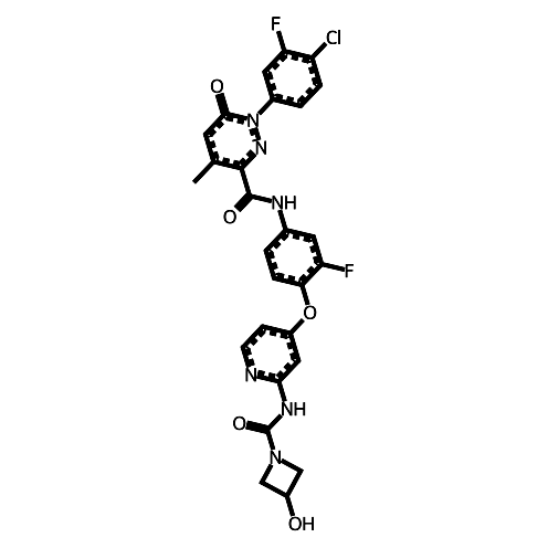 Cc1cc(=O)n(-c2ccc(Cl)c(F)c2)nc1C(=O)Nc1ccc(Oc2ccnc(NC(=O)N3CC(O)C3)c2)c(F)c1